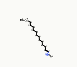 [2H]NC=CCCCCCCCCCCCCCCCCCCCC